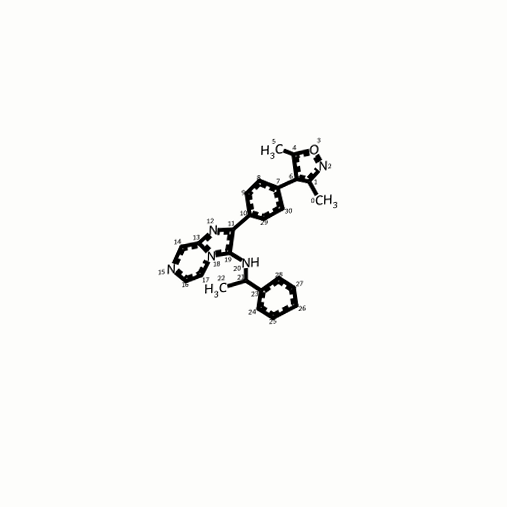 Cc1noc(C)c1-c1ccc(-c2nc3cnccn3c2NC(C)c2ccccc2)cc1